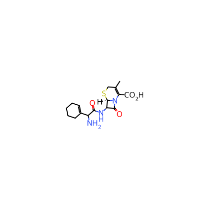 CC1=C(C(=O)O)N2C(=O)[C@@H](NC(=O)C(N)C3=CCCCC3)[C@H]2SC1